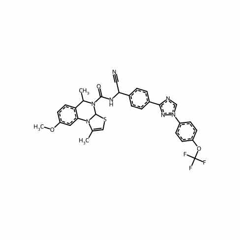 COc1ccc2c(c1)N1C(C)=CSC1N(C(=O)NC(C#N)c1ccc(-c3ncn(-c4ccc(OC(F)(F)F)cc4)n3)cc1)C2C